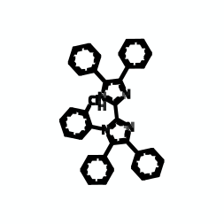 Clc1ccccc1-n1c(-c2nc(-c3ccccc3)c(-c3ccccc3)[nH]2)nc(-c2ccccc2)c1-c1ccccc1